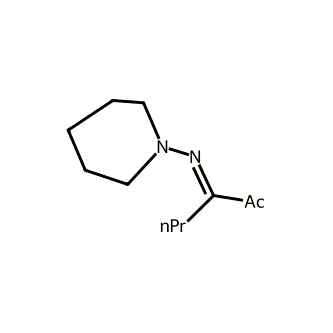 CCC/C(=N\N1CCCCC1)C(C)=O